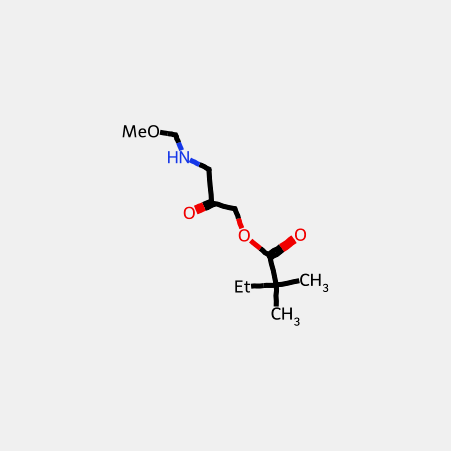 CCC(C)(C)C(=O)OCC(=O)CNCOC